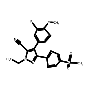 CCn1nc(-c2ccc(S(C)(=O)=O)cc2)c(-c2ccc(OC)c(F)c2)c1C#N